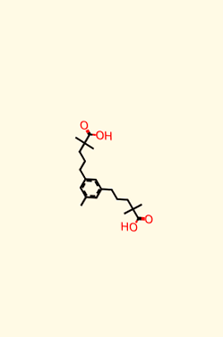 Cc1cc(CCCC(C)(C)C(=O)O)cc(CCCC(C)(C)C(=O)O)c1